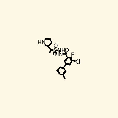 Cc1cccc(-c2cc(Cl)c(F)c(C(=O)NNS(=O)(=O)C(C)C3CCCNC3)c2)c1